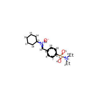 CCN(CC)S(=O)(=O)c1ccc(C=[N+]([O-])C2CCCCC2)cc1